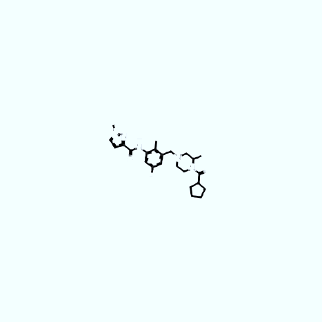 Cc1c(CN2CCN(C(=O)C3CCCC3)C(C)C2)cc(F)cc1NC(=O)c1ccn(C)n1